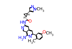 COc1ccc(C)c(-c2cc3cc(NC(=O)[C@@H]4C[C@H]4c4cnn(C)c4)ncc3c(N)n2)c1